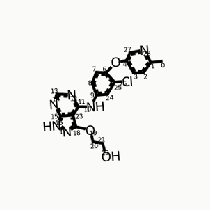 Cc1ccc(Oc2ccc(Nc3ncnc4[nH]nc(OCCO)c34)cc2Cl)cn1